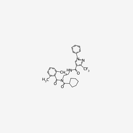 Cc1cccc(C)c1C(=O)N(CCNC(=O)c1cn(-c2ccccc2)nc1C(F)(F)F)C(=O)C1CCCCC1